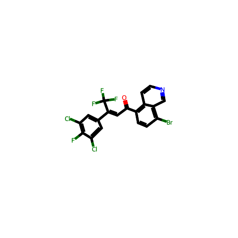 O=C(C=C(c1cc(Cl)c(F)c(Cl)c1)C(F)(F)F)c1ccc(Br)c2cnccc12